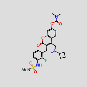 CNS(=O)(=O)Nc1cccc(Cc2c(CN(C)C3CCC3)c3ccc(OC(=O)N(C)C)cc3oc2=O)c1F